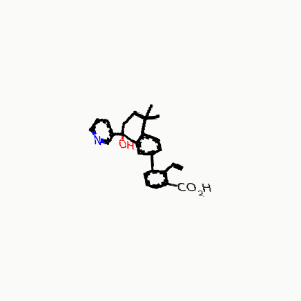 C=Cc1c(C(=O)O)cccc1-c1ccc2c(c1)C(O)(c1cccnc1)CCC2(C)C